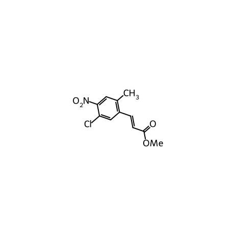 COC(=O)C=Cc1cc(Cl)c([N+](=O)[O-])cc1C